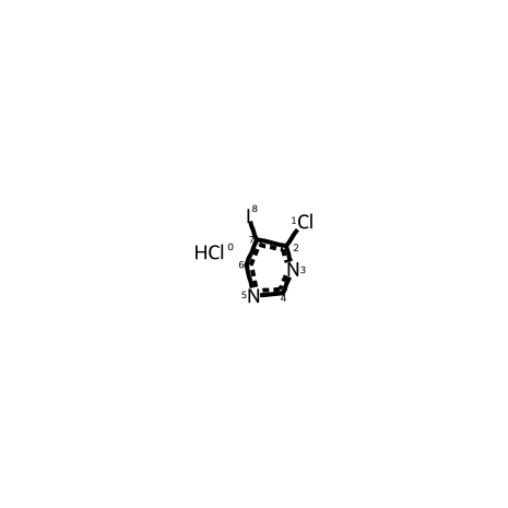 Cl.Clc1ncncc1I